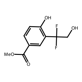 COC(=O)c1ccc(O)c(C(F)(F)CO)c1